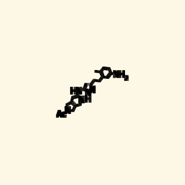 CC(=O)N1Cc2cnc(Nc3cc(CCc4cc(N)ccc4C)n[nH]3)cc2C1